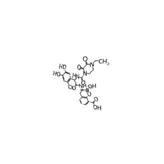 CCN1CCN(C(=O)NC(C(=O)N[C@H]2Cc3cccc(C(=O)O)c3OB2O)c2cc(O)c(O)cc2Cl)C(=O)C1=O